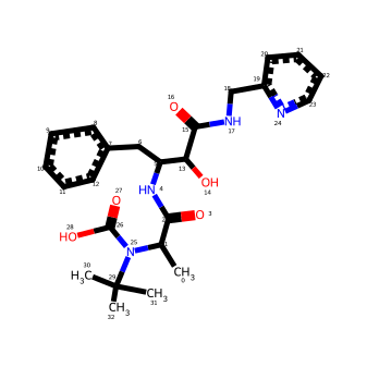 CC(C(=O)NC(Cc1ccccc1)C(O)C(=O)NCc1ccccn1)N(C(=O)O)C(C)(C)C